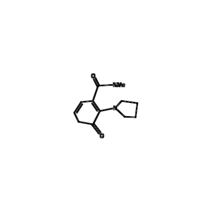 CNC(=O)C1=C(N2CCCC2)C(=O)CC=C1